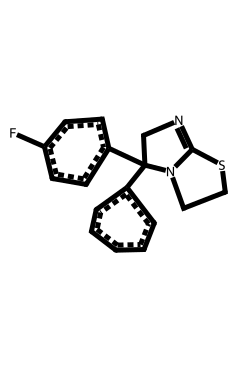 Fc1ccc(C2(c3ccccc3)CN=C3SCCN32)cc1